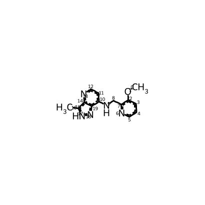 COc1cccnc1CNc1ccnc2c(C)[nH]nc12